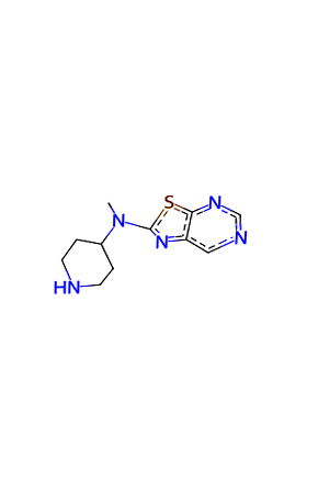 CN(c1nc2cncnc2s1)C1CCNCC1